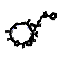 CC1=C\[C@@H](O)C[C@@H](F)Cc2nc(co2)C(=O)N2CCC[C@@H]2C(=O)O[C@H](C(C)C)[C@H](CC(=O)NCCCn2cc(-c3cccnc3)nn2)/C=C/C(=O)NC\C=C\1